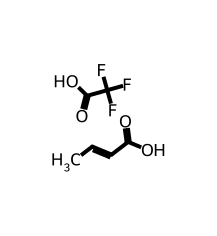 CC=CC(=O)O.O=C(O)C(F)(F)F